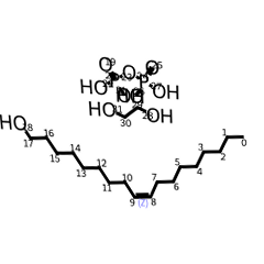 CCCCCCCC/C=C\CCCCCCCCO.O=P(O)(O)OP(=O)(O)O.OCCO